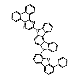 c1ccc(-c2cccc3c2oc2c(-n4c5ccccc5c5c6c7ccccc7n(-c7cnc8c9ccccc9c9ccccc9c8n7)c6ccc54)cccc23)cc1